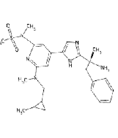 CC1CC1CN(C)c1cc(-c2cnc([C@](C)(N)Cc3ccccc3)[nH]2)cc(N(C)S(C)(=O)=O)n1